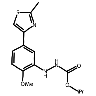 COc1ccc(-c2csc(C)n2)cc1NNC(=O)OC(C)C